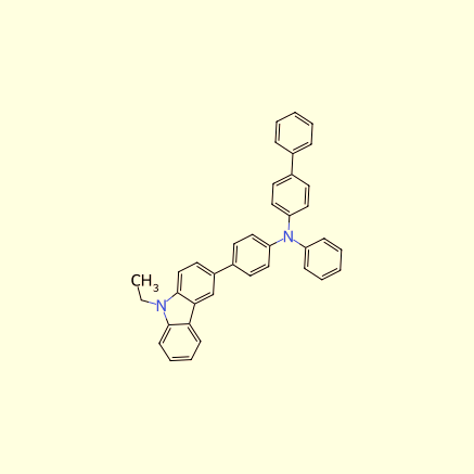 CCn1c2ccccc2c2cc(-c3ccc(N(c4ccccc4)c4ccc(-c5ccccc5)cc4)cc3)ccc21